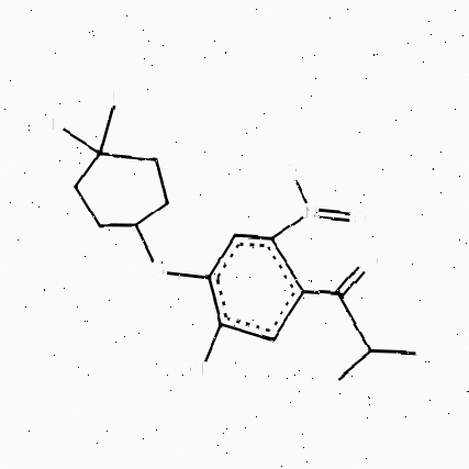 CC(C)C(=O)c1cc(Cl)c(OC2CCC(F)(F)CC2)cc1[N+](=O)[O-]